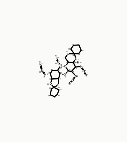 [N-]=[N+]=NC1C(N=[N+]=[N-])[C@@H]2OC3(CCCCC3)OCC2O[C@@H]1O[C@@H]1C(N=[N+]=[N-])C[C@@H](N=[N+]=[N-])C2OC3(CCCCC3)OC21